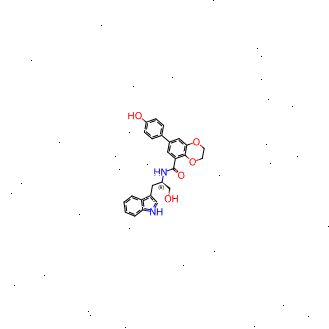 O=C(N[C@@H](CO)Cc1c[nH]c2ccccc12)c1cc(-c2ccc(O)cc2)cc2c1OCCO2